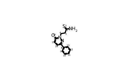 NC(=S)CCn1nc(-c2ccccc2)ccc1=O